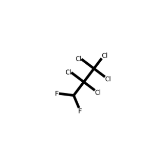 F[C](F)C(Cl)(Cl)C(Cl)(Cl)Cl